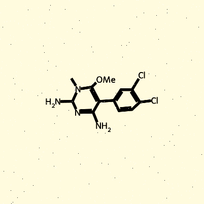 COC1=C(c2ccc(Cl)c(Cl)c2)C(N)=NC(N)N1C